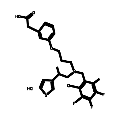 Cc1c(F)c(F)c(F)c(Cl)c1CN(CCCOc1cccc(CC(=O)O)c1)CC(C)c1ccsc1.Cl